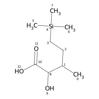 CC(CC[Si](C)(C)C)C(O)C(=O)O